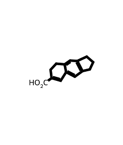 O=C(O)C1=Cc2cc3c(cc2CC1)CCC3